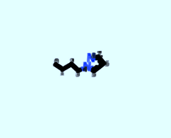 CCCCn1cc[c]n1